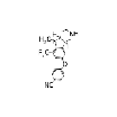 CN1c2c(cc(Oc3ccc(C#N)cc3)cc2C(F)(F)F)[C@H]2CNCC[C@H]21